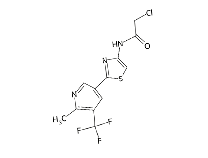 Cc1ncc(-c2nc(NC(=O)CCl)cs2)cc1C(F)(F)F